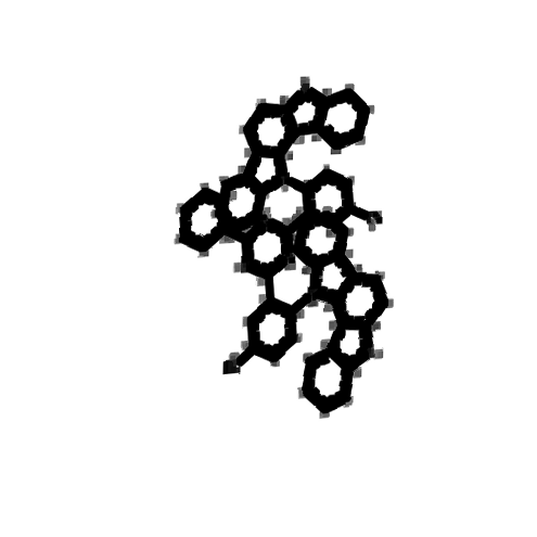 N#Cc1ccc(-n2c3ccccc3c3ccc4sc5ccccc5c4c32)c(-c2nc(-c3ccccc3)nc(-c3cc(C#N)ccc3-n3c4ccccc4c4ccc5sc6ccccc6c5c43)n2)c1